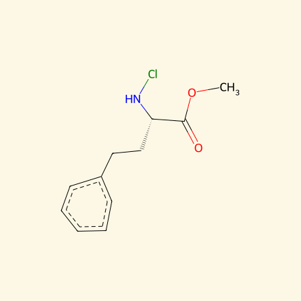 COC(=O)[C@H](CCc1ccccc1)NCl